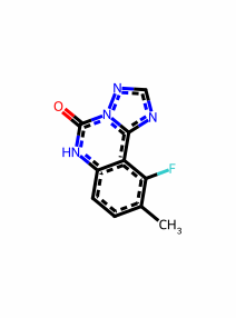 Cc1ccc2[nH]c(=O)n3ncnc3c2c1F